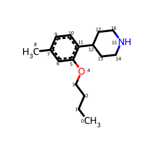 CCCCOc1cc(C)ccc1C1CCNCC1